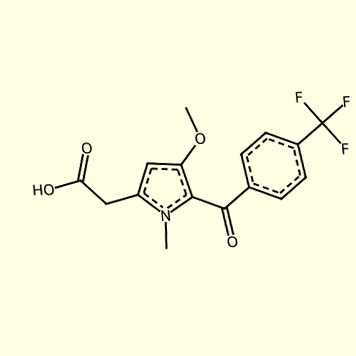 COc1cc(CC(=O)O)n(C)c1C(=O)c1ccc(C(F)(F)F)cc1